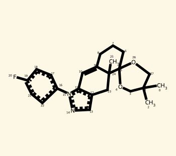 CC1(C)COC2(CCCC3=Cc4c(cnn4-c4ccc(F)cc4)CC32C)OC1